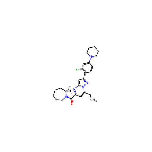 CCc1cc(C(=O)N2CCCCC[C@H]2C)nc2cc(-c3ccc(N4CCCCC4)cc3F)nn12